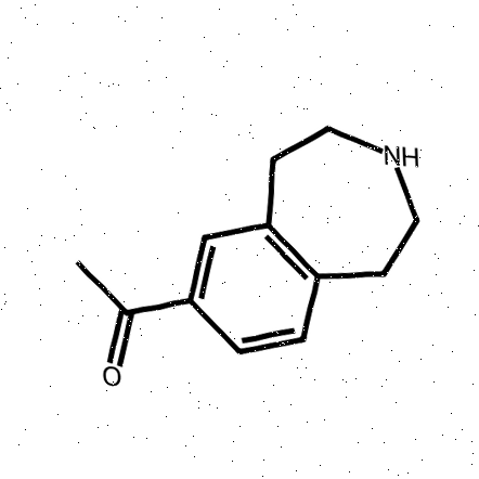 CC(=O)c1ccc2c(c1)CCNCC2